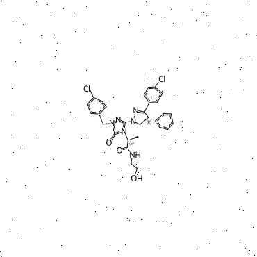 C[C@@H](C(=O)NCCO)n1c(N2C[C@@H](c3ccccc3)C(c3ccc(Cl)cc3)=N2)nn(Cc2ccc(Cl)cc2)c1=O